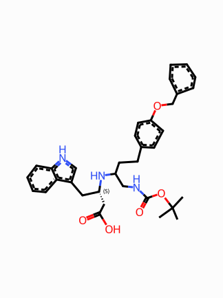 CC(C)(C)OC(=O)NCC(CCc1ccc(OCc2ccccc2)cc1)N[C@H](CC(=O)O)Cc1c[nH]c2ccccc12